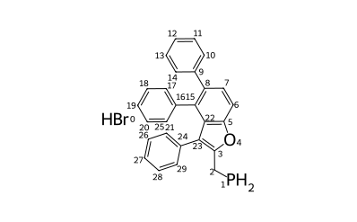 Br.PCc1oc2ccc(-c3ccccc3)c(-c3ccccc3)c2c1-c1ccccc1